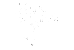 Cc1cc(N)c(F)c([C@@H]2Cc3nc(OC[C@@H]4C[C@@H](F)CN4C)nc(N4CCN(C(=O)C(C)(C)F)[C@@H](CC#N)C4)c3C[C@H]2C)c1C(F)(F)F